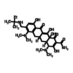 CCC(C)(C)NCc1cc(O)c2c(c1N(C)C)C[C@H]1C[C@H]3[C@H](N(C)C)C(O)=C(C(N)=O)C(=O)[C@@]3(O)C(O)=C1C2=O